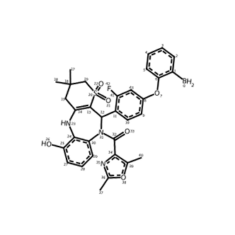 Bc1ccccc1Oc1ccc(C2C3=C(CC(C)(C)CS3(=O)=O)Nc3c(O)cccc3N2C(=O)c2nc(C)oc2C)c(F)c1